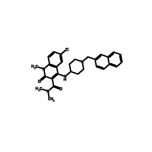 CN(C)C(=O)c1c(NC2CCN(Cc3ccc4ccccc4c3)CC2)c2cc(Cl)ccc2n(C)c1=O